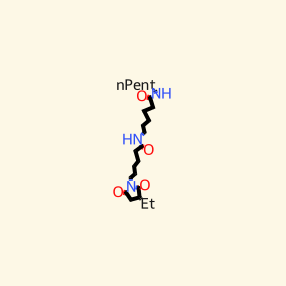 CCCCCNC(=O)CCCCCNC(=O)CCCCCN1C(=O)CC(CC)C1=O